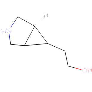 OCCC1C2CNC[C@@H]12